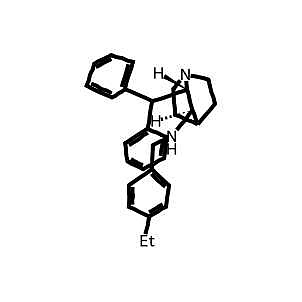 CCc1ccc(CN[C@@H]2C3CCN(CC3)[C@H]2C(c2ccccc2)c2ccccc2)cc1